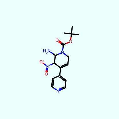 CC(C)(C)OC(=O)N1CC=C(c2ccncc2)C([N+](=O)[O-])C1N